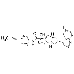 CC#Cc1ccc(NC(=O)C(C)(C)[C@H]2C[C@H]3CC(c4ccnc5ccc(F)cc45)C[C@H]3C2)nc1